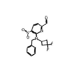 O=Cc1ccc([N+](=O)[O-])c(N(Cc2ccccc2)C2CC(F)(F)C2)n1